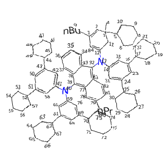 CCCCC1=CC(C)(C2CCCCC2)CC(N(c2cc(C3CCCCC3)cc(C3CCCCC3)c2)c2c3ccccc3c(N(c3cc(C4CCCCC4)cc(C4CCCCC4)c3)c3cc(C4CCCCC4)cc(C4CCCCC4)c3)c3cc(CCC)ccc23)=C1